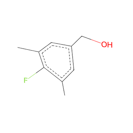 Cc1cc(CO)cc(C)c1F